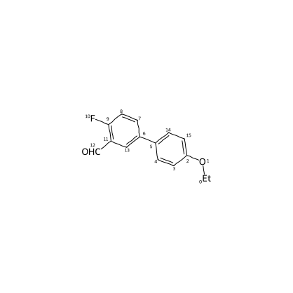 CCOc1ccc(-c2ccc(F)c(C=O)c2)cc1